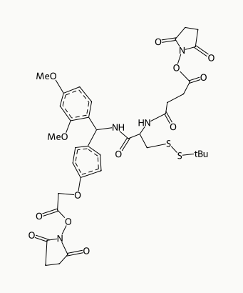 COc1ccc(C(NC(=O)C(CSSC(C)(C)C)NC(=O)CCC(=O)ON2C(=O)CCC2=O)c2ccc(OCC(=O)ON3C(=O)CCC3=O)cc2)c(OC)c1